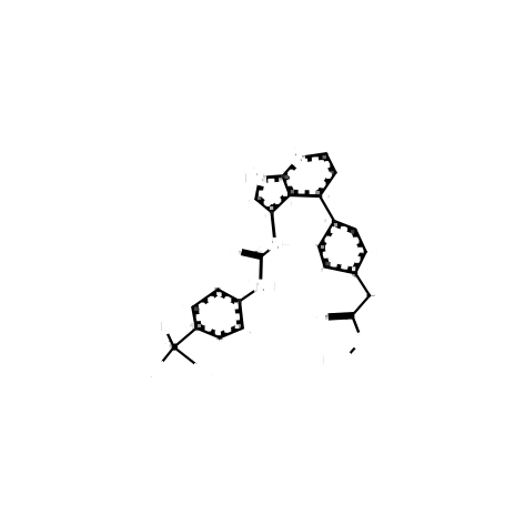 COC(=O)Cc1ccc(-c2ccnc3[nH]cc(NC(=O)Nc4ccc(C(F)(F)F)cc4)c23)cc1